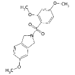 COc1ccc2c(c1)CN(S(=O)(=O)c1ccc(OC)cc1OC)C2